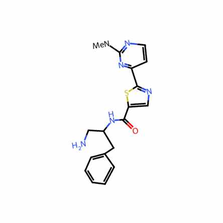 CNc1nccc(-c2ncc(C(=O)NC(CN)Cc3ccccc3)s2)n1